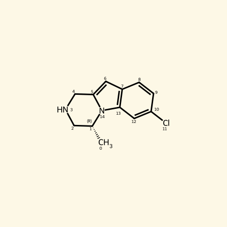 C[C@@H]1CNCc2cc3ccc(Cl)cc3n21